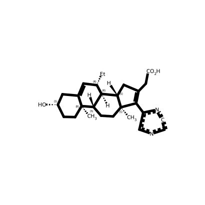 CC[C@H]1C=C2C[C@@H](O)CC[C@]2(C)[C@H]2CC[C@]3(C)C(c4cnccn4)=C(CC(=O)O)C[C@H]3[C@H]12